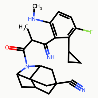 CNc1ccc(F)c(C2CC2)c1C(=N)C(C)C(=O)N1C2CC3CC1CC(C#N)(C3)C2